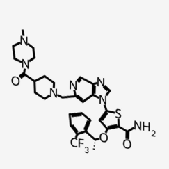 C[C@@H](Oc1cc(-n2cnc3cnc(CN4CCC(C(=O)N5CCN(C)CC5)CC4)cc32)sc1C(N)=O)c1ccccc1C(F)(F)F